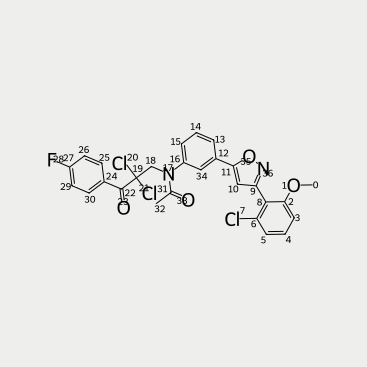 COc1cccc(Cl)c1-c1cc(-c2cccc(N(CC(Cl)(Cl)C(=O)c3ccc(F)cc3)C(C)=O)c2)on1